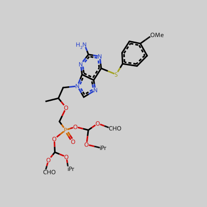 COc1ccc(Sc2nc(N)nc3c2ncn3CC(C)OCP(=O)(OC(OC=O)OC(C)C)OC(OC=O)OC(C)C)cc1